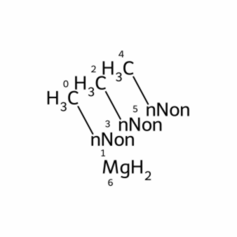 CCCCCCCCCC.CCCCCCCCCC.CCCCCCCCCC.[MgH2]